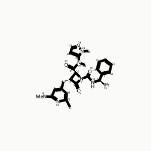 CNc1cc(C[C@H]2C(=O)N(C(=O)N[C@@H](c3ccccc3)C(C)C)[C@@H]2C(=O)N(C)c2ccnn2C)cc(C)n1